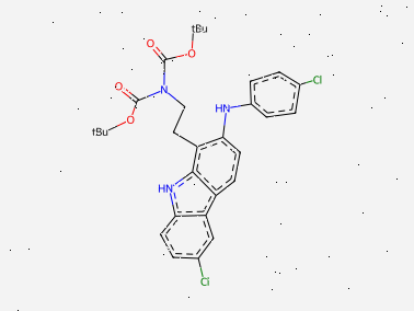 CC(C)(C)OC(=O)N(CCc1c(Nc2ccc(Cl)cc2)ccc2c1[nH]c1ccc(Cl)cc12)C(=O)OC(C)(C)C